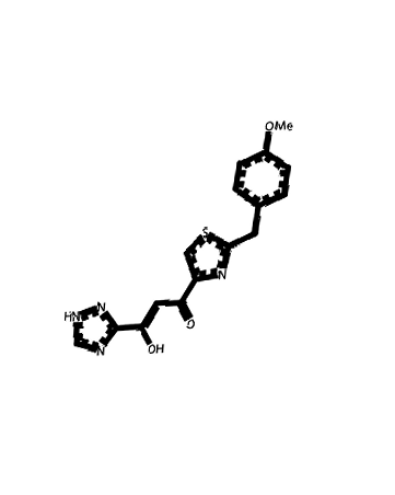 COc1ccc(Cc2nc(C(=O)C=C(O)c3nc[nH]n3)cs2)cc1